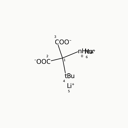 CCCCCCC(C(=O)[O-])(C(=O)[O-])C(C)(C)C.[Li+].[Na+]